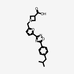 CC(C)Cc1ccc(-c2nc(-c3ccc(CN4CC(C(=O)O)C4)o3)no2)cc1